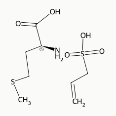 C=CCS(=O)(=O)O.CSCC[C@H](N)C(=O)O